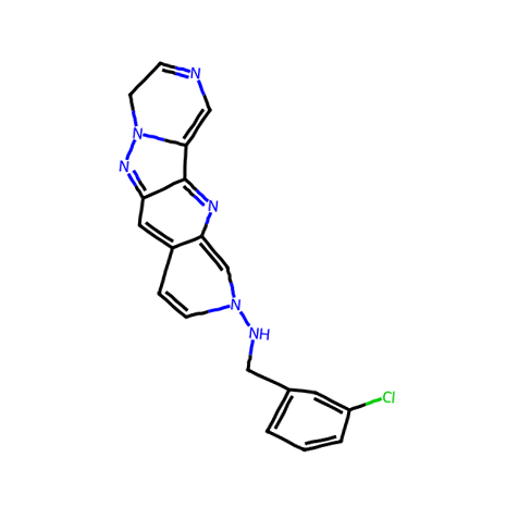 Clc1cccc(CNN2C=Cc3cc4nn5c(c4nc3=C2)=CN=CC5)c1